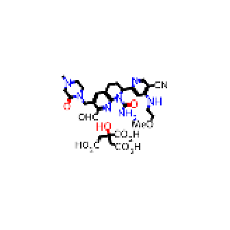 COCCNc1cc(C2CCc3cc(CN4CCN(C)CC4=O)c(C=O)nc3N2C(N)=O)ncc1C#N.O=C(O)CC(O)(CC(=O)O)C(=O)O